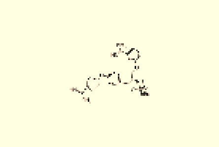 CCCCS(=O)(=O)N[C@H](COc1cccc(C(=N)N)c1)Cc1ccc(OC2CCN(C(C)=N)CC2)cc1